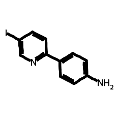 Nc1ccc(-c2ccc(I)cn2)cc1